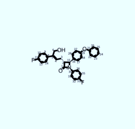 O=C1[C@H](C/C=C(\CO)c2ccc(F)cc2)[C@@H](c2ccc(Oc3ccccc3)cc2)N1c1ccc(F)cc1